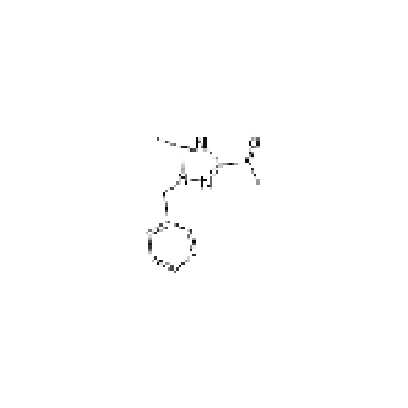 CC(=O)c1nc(C)n(Cc2ccccc2)n1